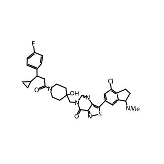 CNC1CCc2c(Cl)cc(-c3snc4c(=O)n(CC5(O)CCN(C(=O)CC(c6ccc(F)cc6)C6CC6)CC5)cnc34)cc21